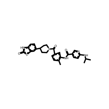 Cc1ccc(C(=O)N2CCC(c3ccc4[nH]c(=O)sc4c3)CC2)cc1NC(=O)c1ccc(NC(C)C)nc1